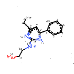 CC(C)Cc1cc(-c2ccccc2)nc(NCCO)n1